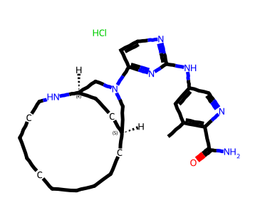 Cc1cc(Nc2nccc(N3C[C@H]4CCCCCCCCCCN[C@H](CC4)C3)n2)cnc1C(N)=O.Cl